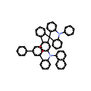 c1ccc(-c2cccc(-c3ccccc3N(c3ccc4c(c3)C3(c5ccccc5-4)c4ccccc4N(c4ccccc4)c4ccccc43)c3cccc4ccccc34)c2)cc1